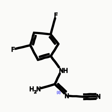 N#C/N=C(/N)Nc1cc(F)cc(F)c1